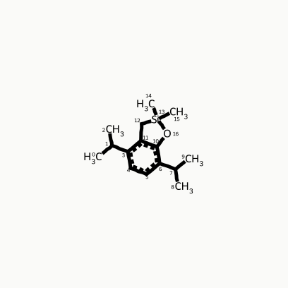 CC(C)c1ccc(C(C)C)c2c1C[Si](C)(C)O2